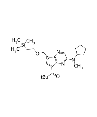 CN(c1cnc2c(n1)c(C(=O)C(C)(C)C)cn2COCC[Si](C)(C)C)C1CCCC1